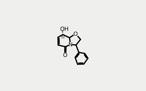 O=C1C=C[C@H](O)C2OCC(c3ccccc3)N12